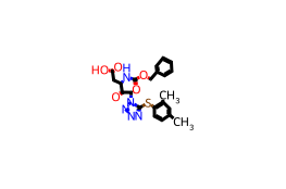 Cc1ccc(Sc2nnnn2CC(=O)C(CC(=O)O)NC(=O)OCc2ccccc2)c(C)c1